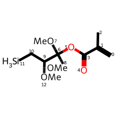 C=C(C)C(=O)OC(OC)(OC)C(C[SiH3])OC